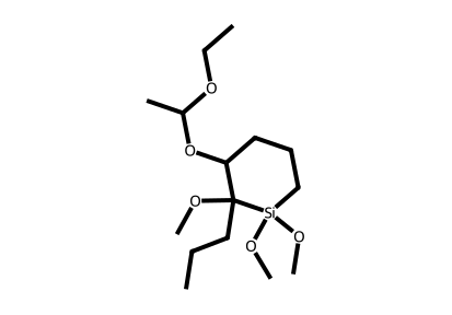 CCCC1(OC)C(OC(C)OCC)CCC[Si]1(OC)OC